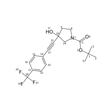 CC(C)(C)OC(=O)N1CCC(O)(C#Cc2ccc(C(F)(F)F)cc2)C1